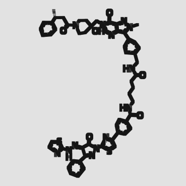 C[C@H](CC(=O)N1CCC(O)(Cn2cnc3c(-c4ccc(CNC(=O)CCCCNC(=O)c5ccc(-c6csc(N7N=C(c8ccccc8)/C(=N\Nc8nccs8)C7=O)n6)cc5)cc4)n(C)nc3c2=O)CC1)c1ccccc1